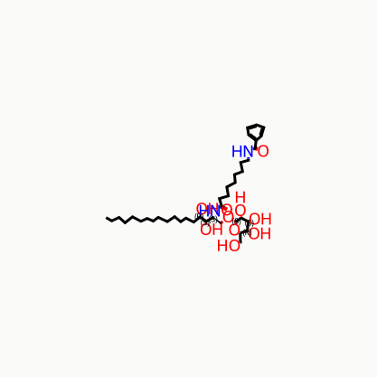 CCCCCCCCCCCCCC[C@@H](O)[C@@H](O)[C@H](CO[C@H]1OC(CO)[C@H](O)[C@H](O)C1O)NC(=O)CCCCCCCCNC(=O)c1ccccc1